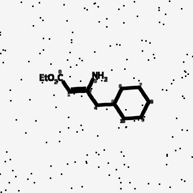 CCOC(=O)/C=C(\N)CC1CCCCC1